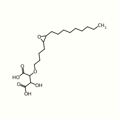 CCCCCCCCCC1OC1CCCCOC(C(=O)O)C(O)C(=O)O